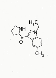 CCn1cc(C(=O)C2CCCN2)c2cc(C)ccc21